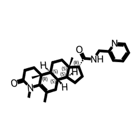 CC1=C2N(C)C(=O)CC[C@]2(C)[C@H]2CC[C@]3(C)[C@H](C(=O)NCc4ccccn4)CC[C@H]3[C@@H]2C1